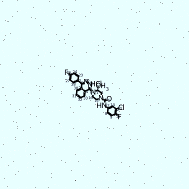 C[C@H]1CN(C(=O)Nc2ccc(F)c(Cl)c2)CCN1c1nnc(-c2ccc(F)cc2)c2ccccc12.Cl